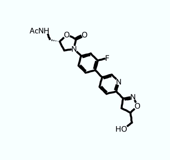 CC(=O)NC[C@H]1CN(c2ccc(-c3ccc(C4=NOC(CO)C4)nc3)c(F)c2)C(=O)O1